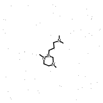 CN(C)CC[CH2][In]1[CH2]N(C)CC[N]1C